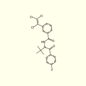 CC(C)(C)N(NC(=O)c1cccc(C(Cl)=C(Cl)Cl)c1)C(=O)c1ccc(F)cc1